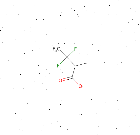 CC(C([O])=O)C(F)(F)C(F)(F)F